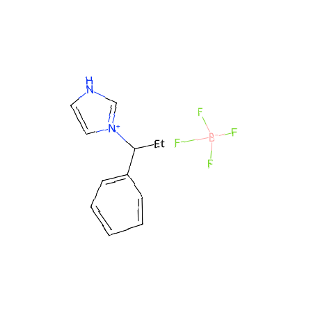 CCC(c1ccccc1)[n+]1cc[nH]c1.F[B-](F)(F)F